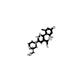 Cc1cc(Cl)cc(O)c1-c1nnc(N2CCO[C@H](CO)C2)cc1C(F)F